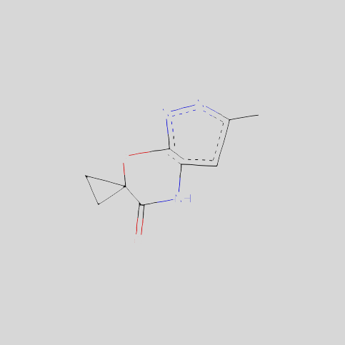 Cc1cc2c(nn1)OC1(CC1)C(=O)N2